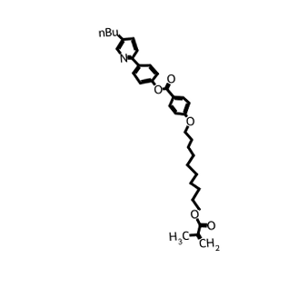 C=C(C)C(=O)OCCCCCCCCCCOc1ccc(C(=O)Oc2ccc(-c3ccc(CCCC)cn3)cc2)cc1